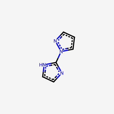 c1cnn(-c2ncc[nH]2)c1